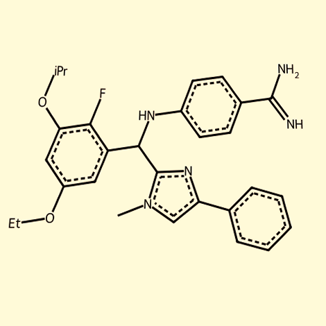 CCOc1cc(OC(C)C)c(F)c(C(Nc2ccc(C(=N)N)cc2)c2nc(-c3ccccc3)cn2C)c1